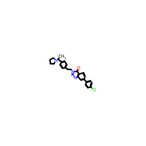 CC(c1ccc(CCn2nnc3cc(-c4ccc(Cl)cc4)ccc3c2=O)cc1)N1CCCC1